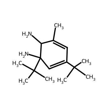 CC1=CC(C(C)(C)C)=CC(N)(C(C)(C)C)C1N